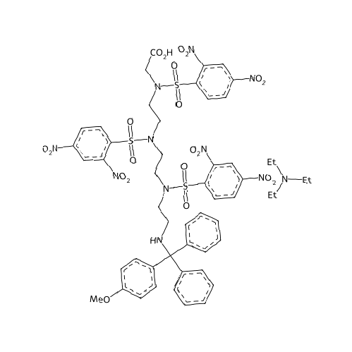 CCN(CC)CC.COc1ccc(C(NCCN(CCN(CCN(CC(=O)O)S(=O)(=O)c2ccc([N+](=O)[O-])cc2[N+](=O)[O-])S(=O)(=O)c2ccc([N+](=O)[O-])cc2[N+](=O)[O-])S(=O)(=O)c2ccc([N+](=O)[O-])cc2[N+](=O)[O-])(c2ccccc2)c2ccccc2)cc1